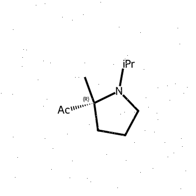 CC(=O)[C@@]1(C)CCCN1C(C)C